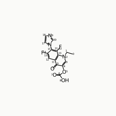 CCn1cc(OC(=O)O)c(=O)c2cc(F)c(-n3ccnc3)c(F)c21